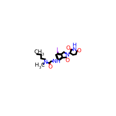 CCCCCN(C)C(=O)CNc1cc(I)c2c(c1)C(=O)N(C1CCC(=O)NC1=O)C2